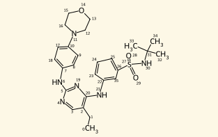 CCc1cnc(Nc2ccc(N3CCOCC3)cc2)nc1Nc1cccc(S(=O)(=O)NC(C)(C)C)c1